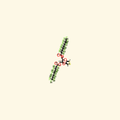 O=C(OCC1Oc2cscc2OC1COC(=O)C(F)(F)C(F)(F)C(F)(F)C(F)(F)C(F)(F)C(F)(F)C(F)(F)F)C(F)(F)C(F)(F)C(F)(F)C(F)(F)C(F)(F)C(F)(F)C(F)(F)F